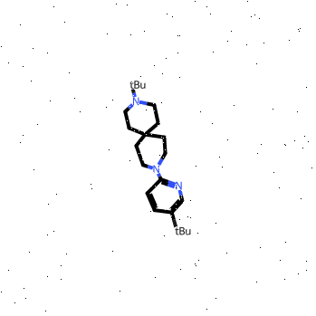 CC(C)(C)c1ccc(N2CCC3(CC2)CCN(C(C)(C)C)CC3)nc1